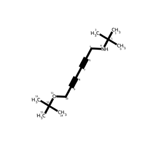 CC(C)(C)NCC#CC#CCOC(C)(C)C